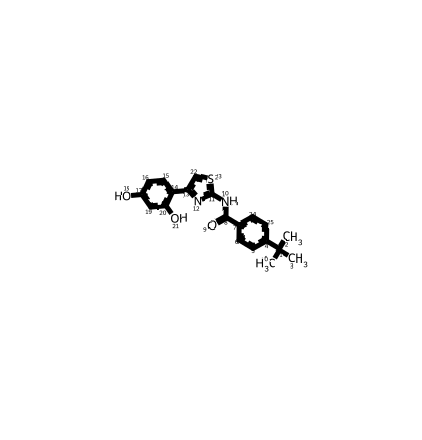 CC(C)(C)c1ccc(C(=O)Nc2nc(-c3ccc(O)cc3O)cs2)cc1